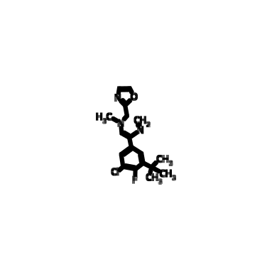 C=N/C(=C\N(C)Cc1ncco1)c1cc(Cl)c(F)c(C(C)(C)C)c1